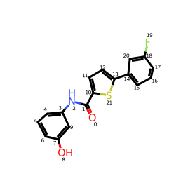 O=C(Nc1cccc(O)c1)c1ccc(-c2cccc(F)c2)s1